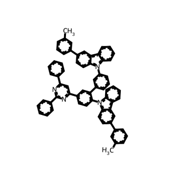 Cc1cccc(-c2ccc3c(c2)c2ccccc2n3-c2cccc(-c3cc(-c4cc(-c5ccccc5)nc(-c5ccccc5)n4)ccc3-n3c4ccccc4c4cc(-c5cccc(C)c5)ccc43)c2)c1